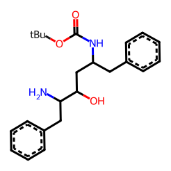 CC(C)(C)OC(=O)NC(Cc1ccccc1)CC(O)C(N)Cc1ccccc1